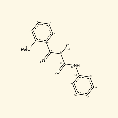 COc1ccccc1C(=O)C(Cl)C(=O)Nc1ccccc1